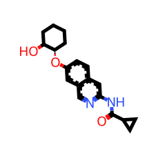 O=C(Nc1cc2ccc(O[C@H]3CCCCC3O)cc2cn1)C1CC1